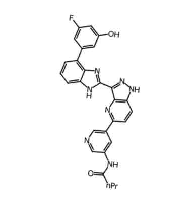 CCCC(=O)Nc1cncc(-c2ccc3[nH]nc(-c4nc5c(-c6cc(O)cc(F)c6)cccc5[nH]4)c3n2)c1